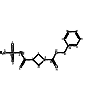 CS(=O)(=O)NC(=O)C1CN(C(=O)OCc2ccccc2)C1